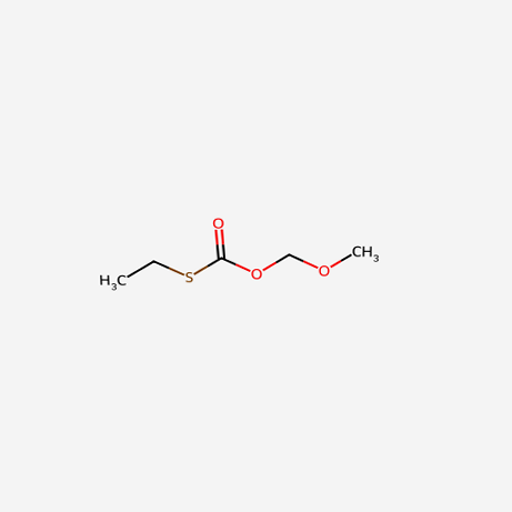 CCSC(=O)OCOC